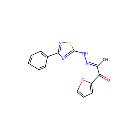 N#C/C(=N\Nc1nc(-c2ccccc2)ns1)C(=O)c1ccco1